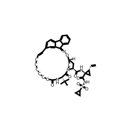 C=C[C@@H]1C[C@]1(NC(=O)[C@@H]1C[C@@H]2CN1C(=O)[C@H](C(C)(C)C)NC(=O)OCCCCC/C=C/c1ccc3c(c1)/C(=N\O2)c1ccccc1-3)C(=O)NS(=O)(=O)C1CC1